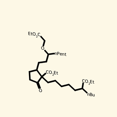 CCCCCC(CCC1CCC(=O)C1(CCCCCC(CCCC)C(=O)OCC)C(=O)OCC)OCC(=O)OCC